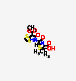 COC(=O)C(C(=O)N[C@@H]1C(=O)N2C(C(=O)O)C(C)(C)S[C@@H]12)=C1SCCS1